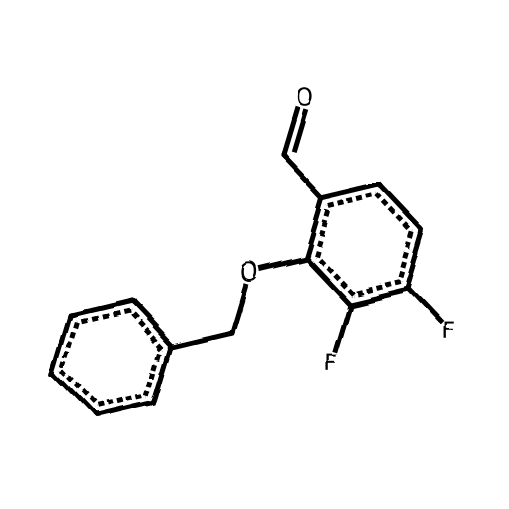 O=Cc1ccc(F)c(F)c1OCc1ccccc1